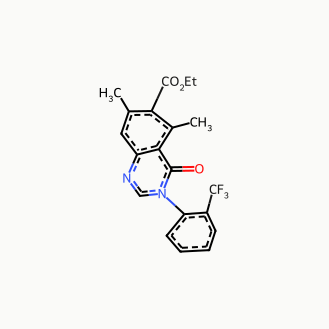 CCOC(=O)c1c(C)cc2ncn(-c3ccccc3C(F)(F)F)c(=O)c2c1C